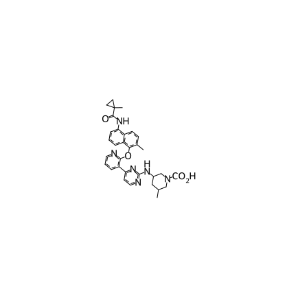 Cc1ccc2c(NC(=O)C3(C)CC3)cccc2c1Oc1ncccc1-c1ccnc(NC2CC(C)CN(C(=O)O)C2)n1